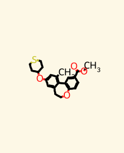 COC(=O)c1ccc2c(c1)-c1c(C)cc(OC3CCSCC3)cc1CCO2